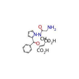 CN(C(=O)CN)n1cccc1C(=O)c1ccccc1.O=C(O)C=CC(=O)O